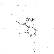 CC=C(C(=O)O)c1ccccc1F